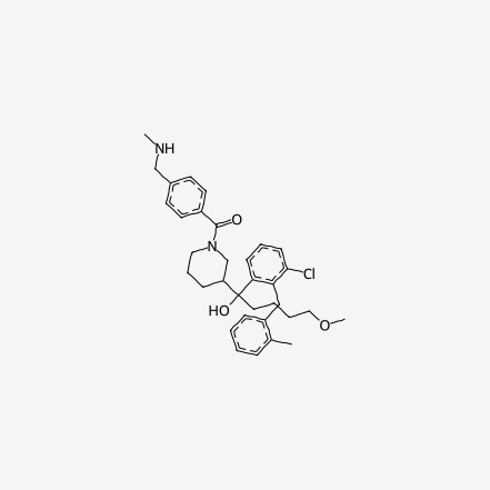 CNCc1ccc(C(=O)N2CCCC(C(O)(CCCCOC)c3cccc(Cl)c3Cc3ccccc3C)C2)cc1